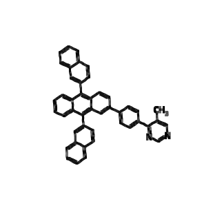 Cc1cncnc1-c1ccc(-c2ccc3c(-c4ccc5ccccc5c4)c4ccccc4c(-c4ccc5ccccc5c4)c3c2)cc1